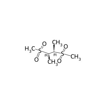 C[C@H]([C@@H](C)S(C)(=O)=O)S(C)(=O)=O